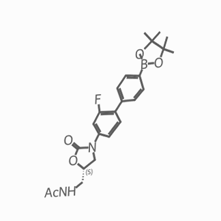 CC(=O)NC[C@H]1CN(c2ccc(-c3ccc(B4OC(C)(C)C(C)(C)O4)cc3)c(F)c2)C(=O)O1